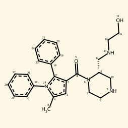 Cc1cc(C(=O)N2CCNC[C@H]2CNCCO)c(-c2ccccc2)n1-c1ccccc1